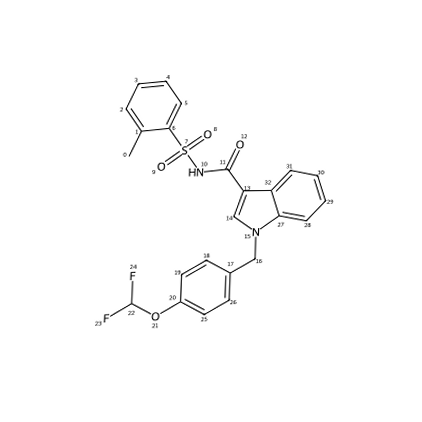 Cc1ccccc1S(=O)(=O)NC(=O)c1cn(Cc2ccc(OC(F)F)cc2)c2ccccc12